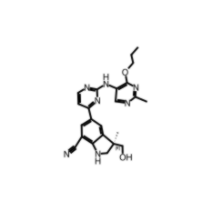 CCCOc1nc(C)ncc1Nc1nccc(-c2cc(C#N)c3c(c2)[C@@](C)(CO)CN3)n1